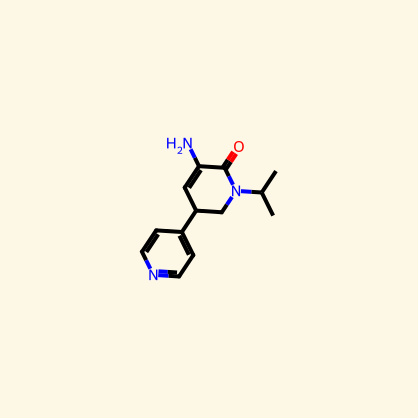 CC(C)N1CC(c2ccncc2)C=C(N)C1=O